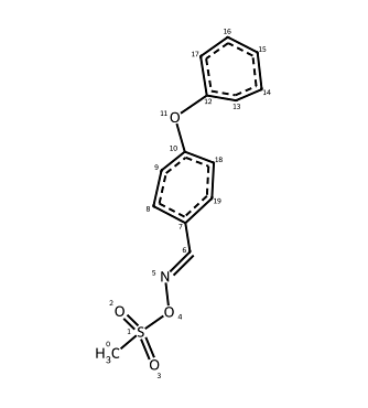 CS(=O)(=O)ON=Cc1ccc(Oc2ccccc2)cc1